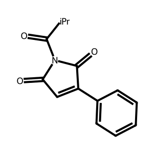 CC(C)C(=O)N1C(=O)C=C(c2ccccc2)C1=O